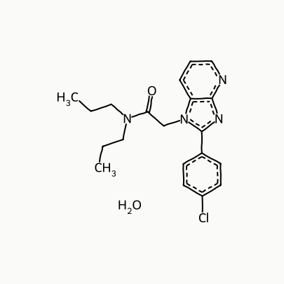 CCCN(CCC)C(=O)Cn1c(-c2ccc(Cl)cc2)nc2ncccc21.O